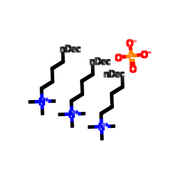 CCCCCCCCCCCCCC[N+](C)(C)C.CCCCCCCCCCCCCC[N+](C)(C)C.CCCCCCCCCCCCCC[N+](C)(C)C.O=P([O-])([O-])[O-]